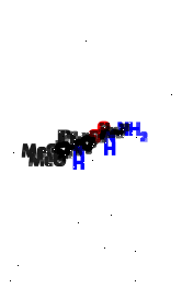 COc1ccc(-c2[nH]c3ccc(OCC(=O)NCCN)cc3c2C(C)C)cc1OC